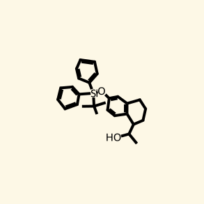 CC(O)C1CCCc2cc(O[Si](c3ccccc3)(c3ccccc3)C(C)(C)C)ccc21